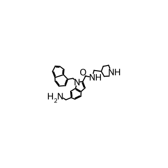 NCc1ccc2cc(C(=O)NCC3CCNCC3)n(Cc3cccc4ccccc34)c2c1